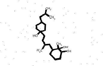 CC(C)CC1CCC(O)(CCC(C)CC2CCCC(O)C2(C)O)CC1